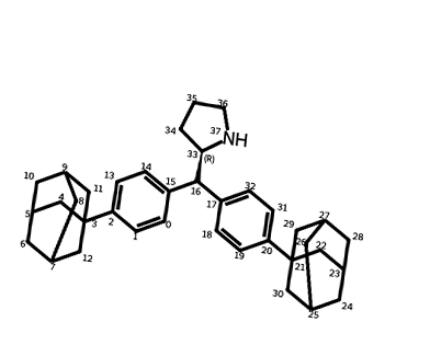 c1cc(C23CC4CC(CC(C4)C2)C3)ccc1C(c1ccc(C23CC4CC(CC(C4)C2)C3)cc1)[C@H]1CCCN1